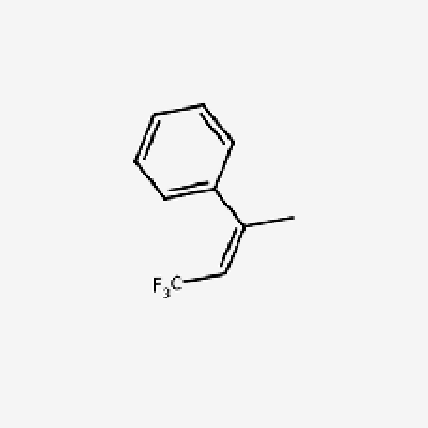 C/C(=C/C(F)(F)F)c1ccccc1